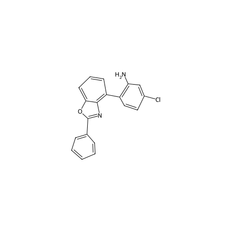 Nc1cc(Cl)ccc1-c1cccc2oc(-c3ccccc3)nc12